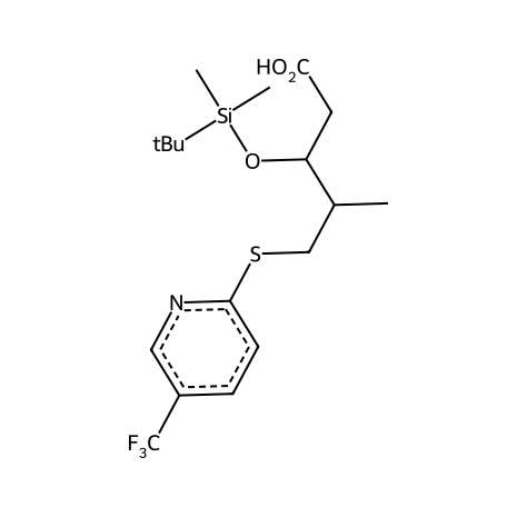 CC(CSc1ccc(C(F)(F)F)cn1)C(CC(=O)O)O[Si](C)(C)C(C)(C)C